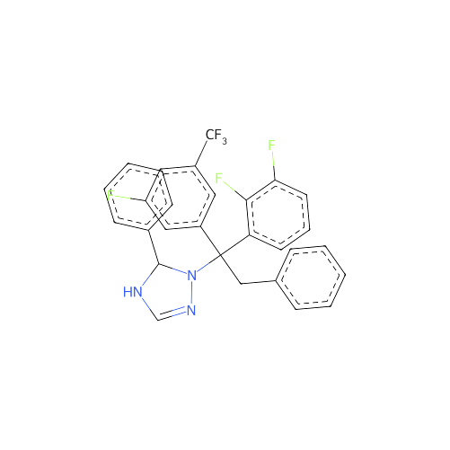 Fc1cc(C(F)(F)F)cc(C(Cc2ccccc2)(c2cccc(F)c2F)N2N=CNC2c2ccccc2)c1